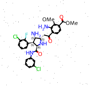 COC(=O)c1ccc(C(=O)C[C@@H]2N[C@@H](C(=O)Nc3cccc(Cl)c3)[C@@H](c3cccc(Cl)c3F)[C@@H]2N)c(N)c1OC